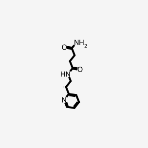 NC(=O)CCC(=O)NC[CH]c1ccccn1